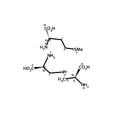 CC(C)C[C@H](N)C(=O)O.CSCC[C@H](N)C(=O)O.C[C@H](N)C(=O)O